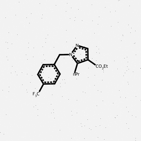 CCCc1c(C(=O)OCC)cnn1Cc1ccc(C(F)(F)F)cc1